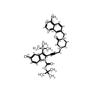 CC(C)(C)OC(=O)n1c(C#CCN2CCN(Cc3ccc4c(N)ncnc4c3)C(=O)C2)c([Si](C)(C)C)c2cc(Cl)ccc21